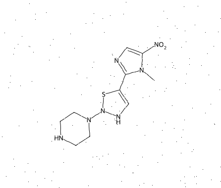 Cn1c([N+](=O)[O-])cnc1C1=CNN(N2CCNCC2)S1